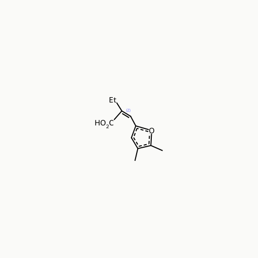 CC/C(=C/c1cc(C)c(C)o1)C(=O)O